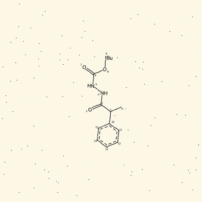 CC(C(=O)NNC(=O)OC(C)(C)C)c1ccccc1